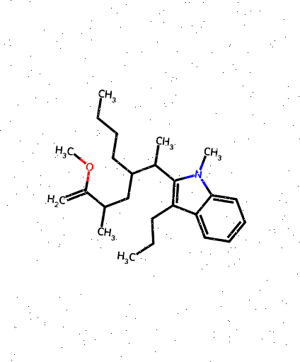 C=C(OC)C(C)CC(CCCC)C(C)c1c(CCC)c2ccccc2n1C